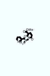 COC(=O)c1ccc(=O)n(CN(C)C(=O)c2cccnc2)c1